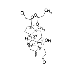 CCC(=O)O[C@@]1(C(=O)CCl)CC[C@H]2[C@@H]3C=CC4=CC(=O)CC[C@]4(C)[C@H]3[C@@H](O)C[C@@]21C